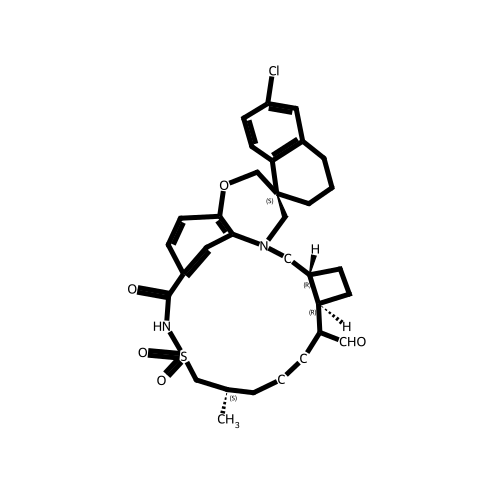 C[C@H]1CCCC(C=O)[C@@H]2CC[C@H]2CN2C[C@@]3(CCCc4cc(Cl)ccc43)COc3ccc(cc32)C(=O)NS(=O)(=O)C1